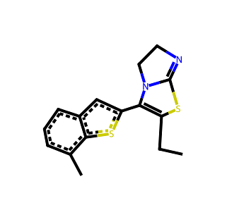 CCC1=C(c2cc3cccc(C)c3s2)N2CCN=C2S1